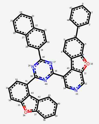 c1ccc(-c2ccc3c(c2)oc2cncc(-c4nc(-c5ccc6ccccc6c5)nc(-c5cccc6oc7ccccc7c56)n4)c23)cc1